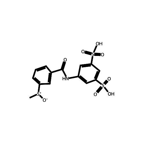 C[S+]([O-])c1cccc(C(=O)Nc2cc(S(=O)(=O)O)cc(S(=O)(=O)O)c2)c1